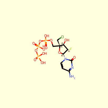 Nc1ccn([C@@H]2O[C@](CCl)(COP(=O)(O)OP(=O)(O)OP(=O)(O)O)[C@@H](O)[C@@H]2F)c(=O)n1